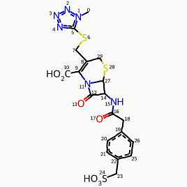 Cn1nnnc1SCC1=C(C(=O)O)N2C(=O)C(NC(=O)Cc3ccc(CS(=O)(=O)O)cc3)C2SC1